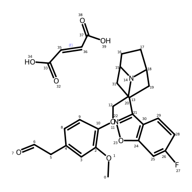 COc1cc(CC=O)ccc1OCCN1C2CCC1CC(c1noc3cc(F)ccc13)C2.O=C(O)/C=C/C(=O)O